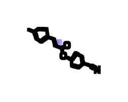 Cc1ccc(/C=C/C(=O)Oc2ccc(C#N)cc2)cc1